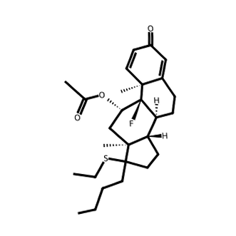 CCCCC1(SCC)CC[C@H]2[C@@H]3CCC4=CC(=O)C=C[C@]4(C)[C@@]3(F)[C@@H](OC(C)=O)C[C@@]21C